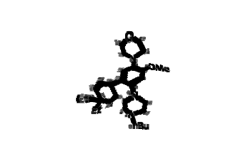 CCCCN1CCN(c2cc(OC)c(N3CCOCC3)cc2C2CCC(CC)(CC)CC2)CC1